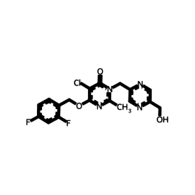 Cc1nc(OCc2ccc(F)cc2F)c(Cl)c(=O)n1Cc1cnc(CO)cn1